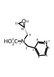 O=C(O)N(Cc1cccnc1)C[C@@H]1CO1